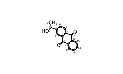 CC(O)c1ccc2c(c1)C(=O)c1ccccc1C2=O